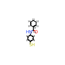 O=C(Nc1ccc(S)cc1)C1=CCCC=C1